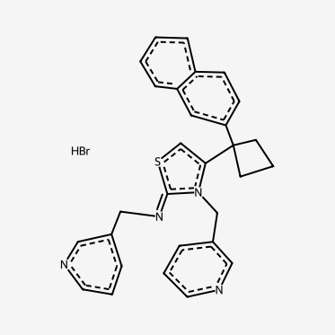 Br.c1cncc(CN=c2scc(C3(c4ccc5ccccc5c4)CCC3)n2Cc2cccnc2)c1